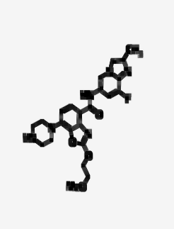 COCCOc1nc2c(C(=O)Nc3cc(F)c4nc(C)cn4c3)ccc(N3CCNCC3)c2o1